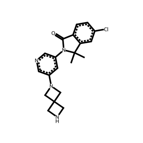 CC1(C)c2cc(Cl)ccc2C(=O)N1c1cncc(N2CC3(CNC3)C2)c1